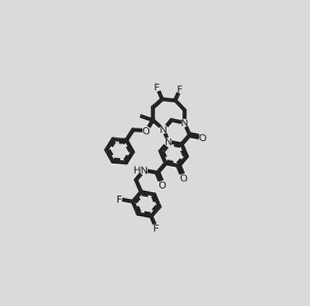 CC1(OCc2ccccc2)CC(F)C(F)CN2CN1n1cc(C(=O)NCc3ccc(F)cc3F)c(=O)cc1C2=O